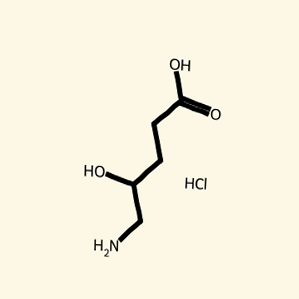 Cl.NCC(O)CCC(=O)O